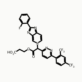 O=C(O)CCOC(=O)C(c1ccc(-c2ccc(C(F)(F)F)cc2C(F)(F)F)nn1)n1ccc2nc(-c3ccccc3F)nc-2c1